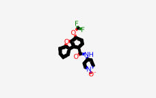 O=C(Nc1cc[n+]([O-])cc1)c1ccc(OC(F)F)c2oc3ccccc3c12